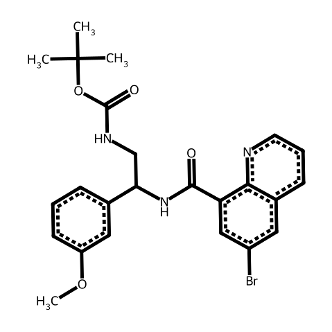 COc1cccc(C(CNC(=O)OC(C)(C)C)NC(=O)c2cc(Br)cc3cccnc23)c1